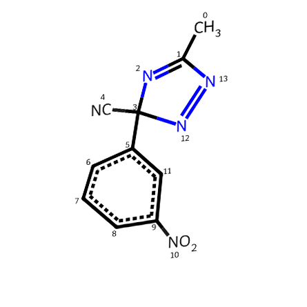 CC1=NC(C#N)(c2cccc([N+](=O)[O-])c2)N=N1